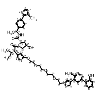 Cc1ncsc1-c1ccc([C@H](C)NC(=O)[C@@H]2C[C@@H](O)CN2C(=O)[C@@H](c2cc(OCCOCCOCCOCCn3cc(-c4cc(-c5ccccc5O)nnc4N)cn3)no2)C(C)C)cc1